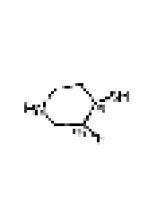 F[C@H]1CNCC[C@H]1S